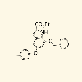 CCOC(=O)c1cc2cc(Oc3ccc(C)cc3)cc(OCc3ccccc3)c2[nH]1